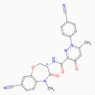 Cc1cc(=O)c(C(=O)N[C@H]2COc3cc(C#N)ccc3N(C)C2=O)nn1-c1ccc(C#N)cc1